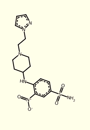 NS(=O)(=O)c1ccc(NC2CCN(CCn3cccn3)CC2)c([N+](=O)[O-])c1